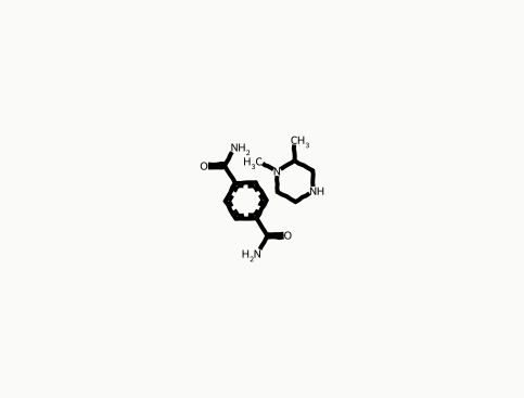 CC1CNCCN1C.NC(=O)c1ccc(C(N)=O)cc1